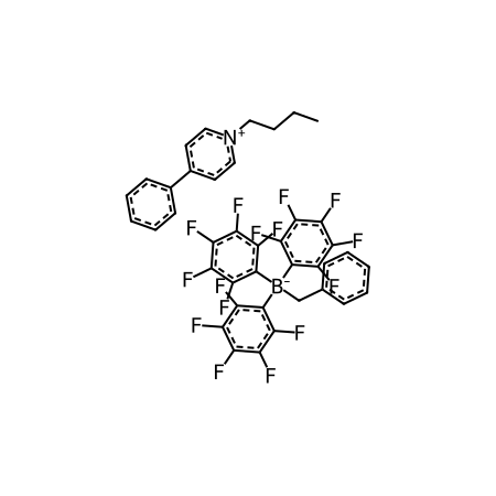 CCCC[n+]1ccc(-c2ccccc2)cc1.Fc1c(F)c(F)c([B-](Cc2ccccc2)(c2c(F)c(F)c(F)c(F)c2F)c2c(F)c(F)c(F)c(F)c2F)c(F)c1F